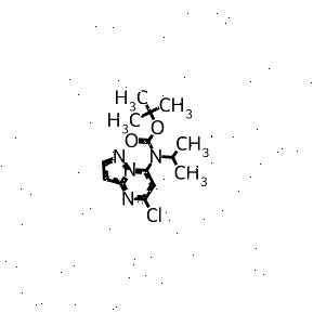 CC(C)N(C(=O)OC(C)(C)C)c1cc(Cl)nc2ccnn12